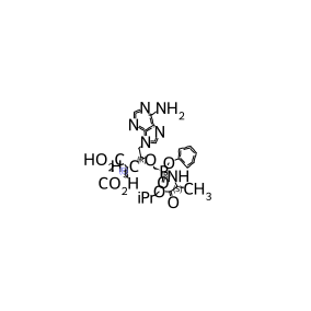 CC(C)OC(=O)[C@H](C)N[P@@](=O)(CO[C@H](C)Cn1cnc2c(N)ncnc21)Oc1ccccc1.O=C(O)/C=C/C(=O)O